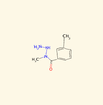 Cc1cccc(C(=O)N(C)NN)c1